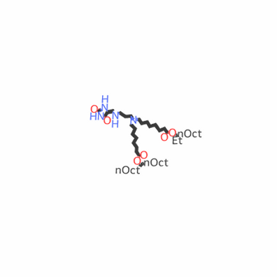 CCCCCCCCC(CC)OC(=O)CCCCCCCN(CCCCCCCC(=O)OC(CCCCCCCC)CCCCCCCC)CCCN/C=C1/NC(=O)NC1=O